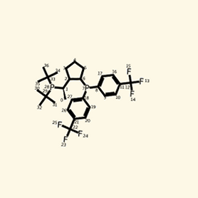 C[C@H](C1CCCC1P(c1ccc(C(F)(F)F)cc1)c1ccc(C(F)(F)F)cc1)P(C(C)(C)C)C(C)(C)C